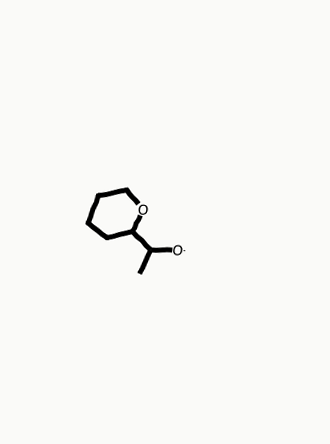 CC([O])C1CCCCO1